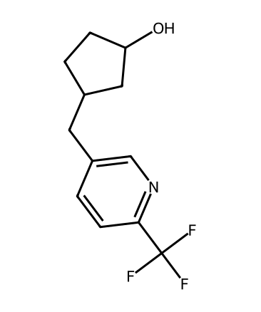 OC1CCC(Cc2ccc(C(F)(F)F)nc2)C1